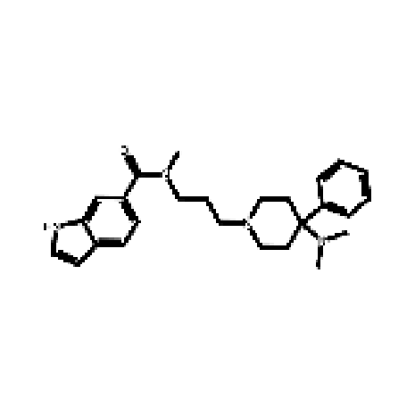 CN(CCCN1CCC(c2ccccc2)(N(C)C)CC1)C(=O)c1ccc2cc[nH]c2c1